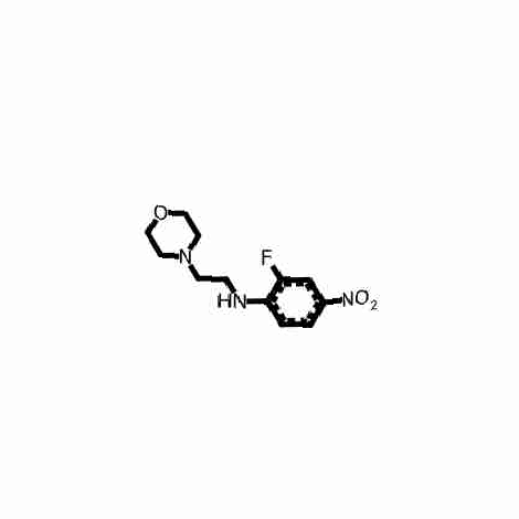 O=[N+]([O-])c1ccc(NCCN2CCOCC2)c(F)c1